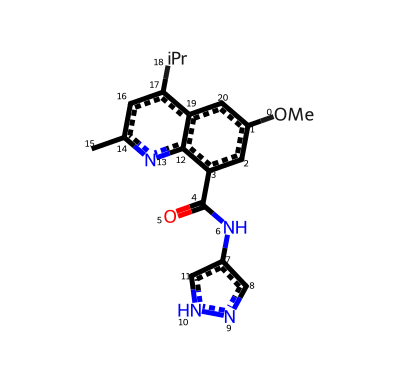 COc1cc(C(=O)Nc2cn[nH]c2)c2nc(C)cc(C(C)C)c2c1